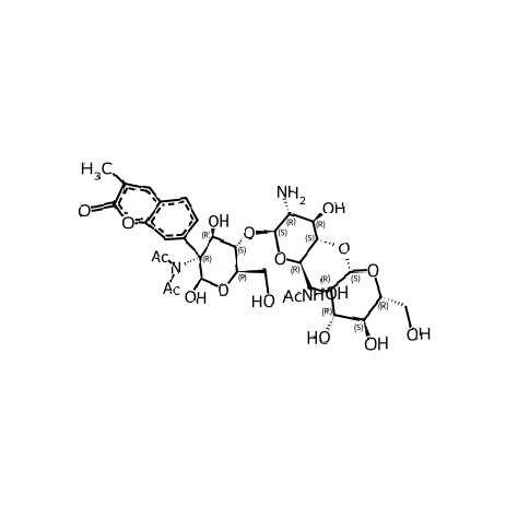 CC(=O)N[C@H]1[C@H](O[C@H]2[C@H](O)[C@@H](N)[C@H](O[C@@H]3[C@@H](CO)OC(O)[C@](c4ccc5cc(C)c(=O)oc5c4)(N(C(C)=O)C(C)=O)[C@H]3O)O[C@@H]2CO)O[C@H](CO)[C@@H](O)[C@@H]1O